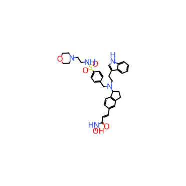 O=C(C=Cc1ccc2c(c1)CCC2N(CCc1c[nH]c2ccccc12)Cc1ccc(S(=O)(=O)NCCN2CCOCC2)cc1)NO